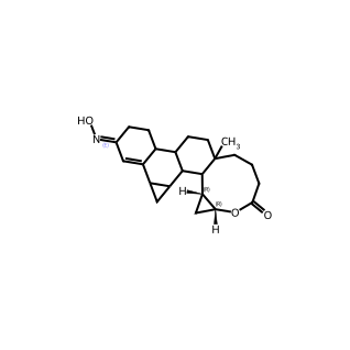 CC12CCCC(=O)O[C@@H]3C[C@@H]3C1C1C(CC2)C2CC/C(=N\O)C=C2C2CC21